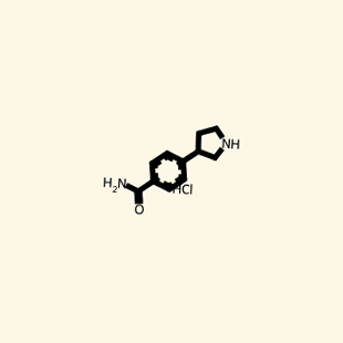 Cl.NC(=O)c1ccc(C2CCNC2)cc1